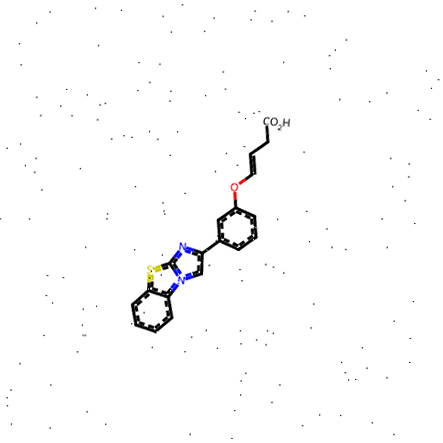 O=C(O)C/C=C/Oc1cccc(-c2cn3c(n2)sc2ccccc23)c1